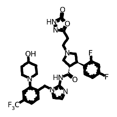 O=C(Nc1nccn1Cc1ccc(C(F)(F)F)cc1N1CCC(O)CC1)[C@@H]1CN(CCc2n[nH]c(=O)o2)C[C@H]1c1ccc(F)cc1F